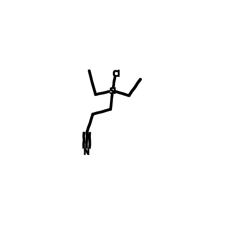 CC[Si](Cl)(CC)CCC#N